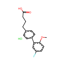 COc1ccc(F)cc1-c1ccc(CCCC(=O)O)cc1.Cl